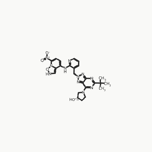 CC(C)(C)c1nc(N2CC[C@H](O)C2)c2nn(Cc3cccnc3NC3=CC=C([N+](=O)[O-])N4ONC=C34)nc2n1